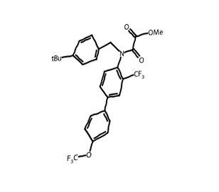 COC(=O)C(=O)N(Cc1ccc(C(C)(C)C)cc1)c1ccc(-c2ccc(OC(F)(F)F)cc2)cc1C(F)(F)F